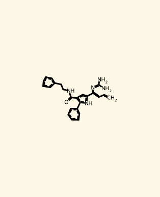 C=C/C=C(\N=C(N)N)c1cc(C(=O)NCCc2ccccc2)c(-c2ccccc2)[nH]1